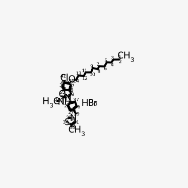 Br.CCCCCCCCCCCCCCOc1cc(CN(C(=O)NC)c2ccc(CN3C=C(C)SC3)cc2)ccc1Cl